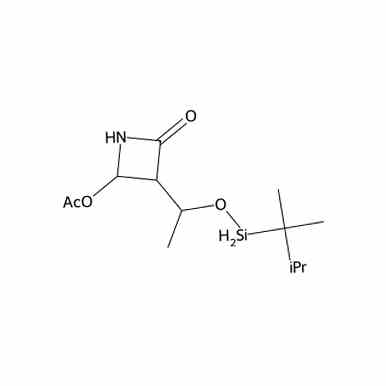 CC(=O)OC1NC(=O)C1C(C)O[SiH2]C(C)(C)C(C)C